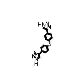 c1cc(-c2c[nH]nn2)ccc1Sc1ccc(-c2c[nH]nn2)cc1